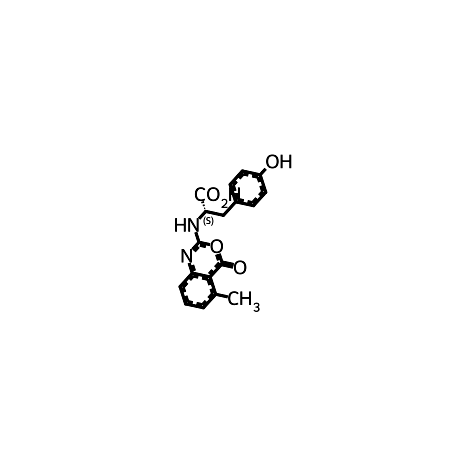 Cc1cccc2nc(N[C@@H](Cc3ccc(O)cc3)C(=O)O)oc(=O)c12